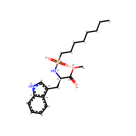 CCCCCCCCS(=O)(=O)N[C@H](Cc1c[nH]c2ccccc12)C(=O)OC